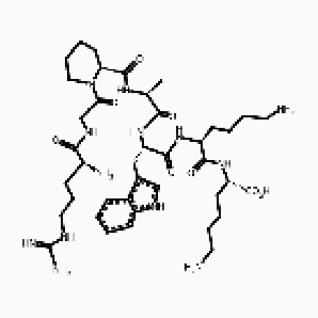 C[C@H](NC(=O)[C@@H]1CCCCN1C(=O)CNC(=O)[C@@H](N)CCCNC(=N)N)C(=O)N[C@@H](Cc1c[nH]c2ccccc12)C(=O)N[C@@H](CCCCN)C(=O)N[C@@H](CCCCN)C(=O)O